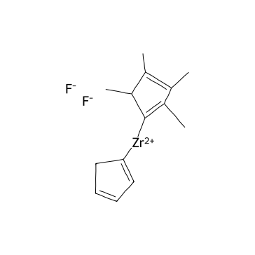 CC1=C(C)C(C)[C]([Zr+2][C]2=CC=CC2)=C1C.[F-].[F-]